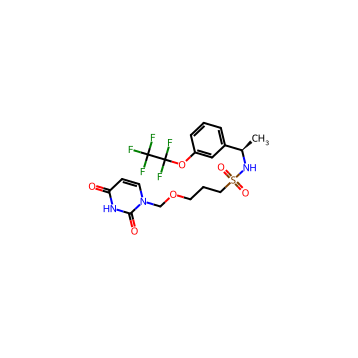 C[C@@H](NS(=O)(=O)CCCOCn1ccc(=O)[nH]c1=O)c1cccc(OC(F)(F)C(F)(F)F)c1